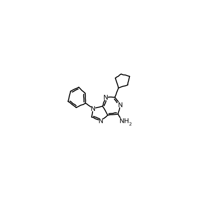 Nc1nc(C2CCCC2)nc2c1ncn2-c1ccccc1